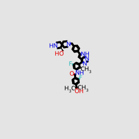 Cc1c(NC(=O)c2ccc(C(C)(C)O)cc2F)cc(F)cc1-c1ncnc2[nH]c(-c3ccc(CN4CCC5(CCNC[C@@H]5CO)CC4)cc3)cc12